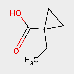 CCC1(C(=O)O)CC1